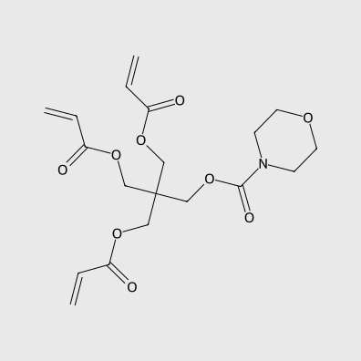 C=CC(=O)OCC(COC(=O)C=C)(COC(=O)C=C)COC(=O)N1CCOCC1